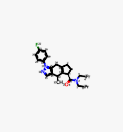 CC(C)CN(CC(C)C)C(=O)[C@@H]1CCC2=C1[C@@H](C)c1cnn(-c3ccc(F)cc3)c1C2